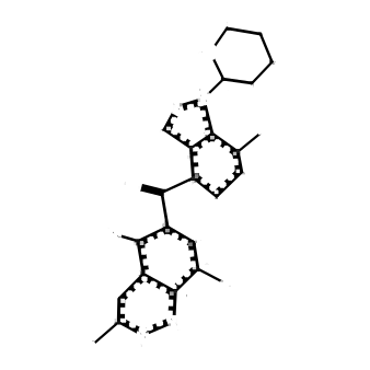 Cc1cc2c(N)c(C(=O)c3ccc(F)c4c3cnn4C3CCCCO3)cc(Br)c2nn1